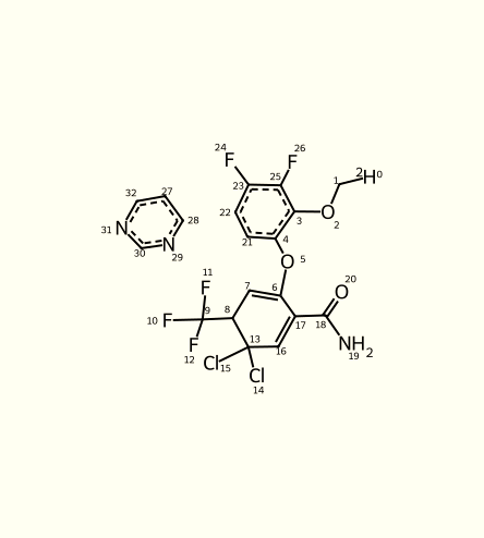 [2H]COc1c(OC2=CC(C(F)(F)F)C(Cl)(Cl)C=C2C(N)=O)ccc(F)c1F.c1cncnc1